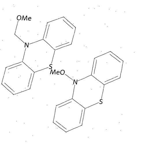 COCN1c2ccccc2Sc2ccccc21.CON1c2ccccc2Sc2ccccc21